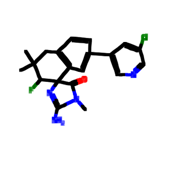 CN1C(=O)C2(N=C1N)c1cc(-c3cncc(Cl)c3)ccc1CC(C)(C)C2F